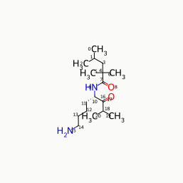 CC(C)CC(C)(C)C(=O)N[C@@H](CCCCN)C(=O)C(C)C